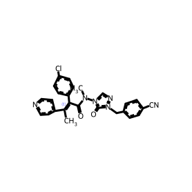 C/C(=C(\C(=O)N(C)n1cnn(Cc2ccc(C#N)cc2)c1=O)c1ccc(Cl)cc1)c1ccncc1